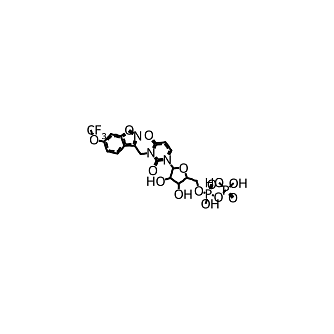 O=c1ccn(C2OC(COP(=O)(O)OP(=O)(O)O)C(O)C2O)c(=O)n1Cc1noc2cc(OC(F)(F)F)ccc12